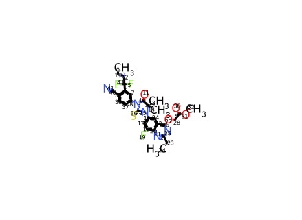 C/C=C/C(F)(F)c1cc(N2C(=O)C(C)(C)N(c3cc(F)c4nc(CC)nc(OCC(=O)OC)c4c3)C2=S)ccc1C#N